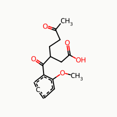 COc1ccccc1C(=O)C(CCC(C)=O)CC(=O)O